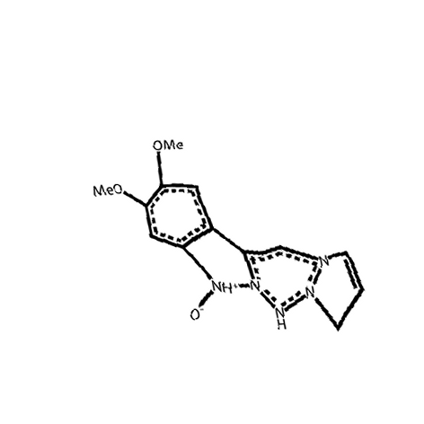 COc1cc2c(cc1OC)[NH+]([O-])n1[nH]n3n(cc1-2)C=CC3